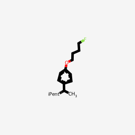 CCCC(C)C(C)c1ccc(OCCCCF)cc1